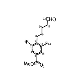 COC(=O)c1cc(F)c(CCCCC=O)c(F)c1